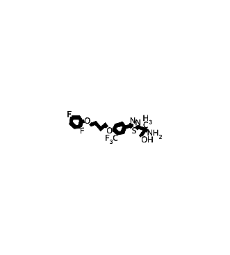 CC(N)(CO)c1nnc(-c2ccc(OCCCCOc3cc(F)ccc3F)c(C(F)(F)F)c2)s1